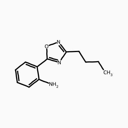 CCCCc1noc(-c2ccccc2N)n1